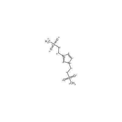 CS(=O)(=O)CCn1cc[n+](CCS(C)(=O)=O)c1